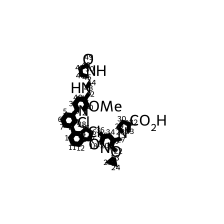 COc1nc(-c2cccc(-c3cccc4c3CC[C@@H]4Oc3nc(OC4CC4)c(CN4CC[C@@H](C(=O)O)C4)cc3Cl)c2Cl)ccc1CNC[C@@H]1CCC(=O)N1